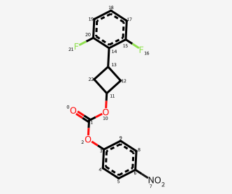 O=C(Oc1ccc([N+](=O)[O-])cc1)OC1CC(c2c(F)cccc2F)C1